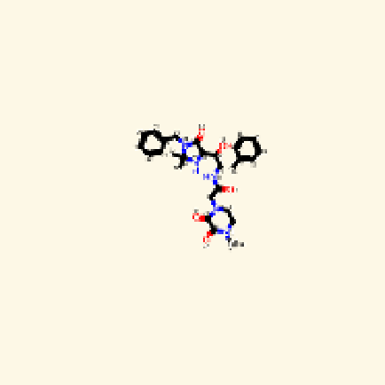 CCCCN1CCN(CC(=O)N[C@@H](Cc2ccccc2)C(O)C2NC(C)(C)N(Cc3ccccc3)C2=O)C(=O)C1=O